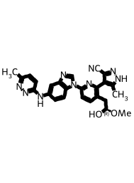 CO[C@@H](O)Cc1ccc(-n2cnc3cc(Nc4ccc(C)nn4)ccc32)nc1-c1c(C#N)n[nH]c1C